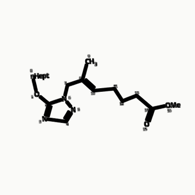 CCCCCCCOc1ncnn1CC(C)=CCCCC(=O)OC